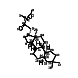 CON(C)C(=O)C[C@H]1CC[C@H]2[C@@H]3CC[C@@H]4CC(C)(C)CC[C@@H]4[C@H]3CC[C@]12C